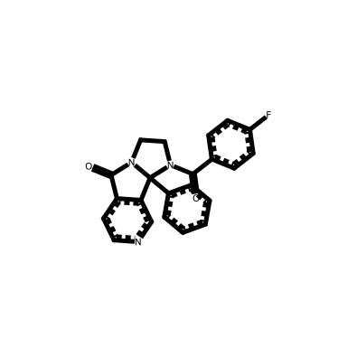 O=C(c1ccc(F)cc1)N1CCN2C(=O)c3ccncc3C12c1ccccc1